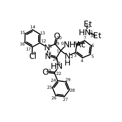 CC(=O)NC1(Nc2ccccc2)C(=O)N(c2ccccc2Cl)N=C1NC(=O)c1ccccc1.CCNCC